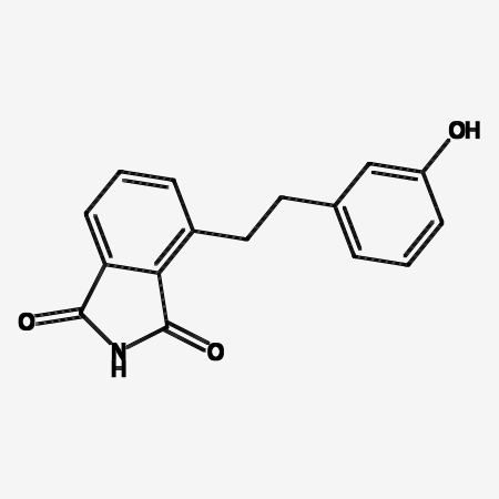 O=C1NC(=O)c2c(CCc3cccc(O)c3)cccc21